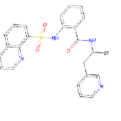 CCC(Cc1cccnc1)NC(=O)c1ccccc1NS(=O)(=O)c1cccc2cccnc12